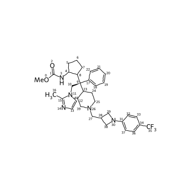 COC(=O)NC1CCCC1[C@](Cn1ccnc1C)(c1ccccc1)C1CCN(CC2CN(c3ccc(C(F)(F)F)cc3)C2)CC1